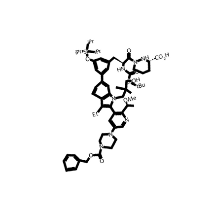 CCc1c(-c2cc(N3CCN(C(=O)OCc4ccccc4)CC3)cnc2[C@H](C)OC)n(CC(C)(C)CO)c2cc(-c3cc(C[C@H](NC(=O)OC(C)(C)C)C(=O)N4CCC[C@@H](C(=O)O)N4)cc(O[Si](C(C)C)(C(C)C)C(C)C)c3)ccc12